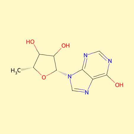 C[C@H]1O[C@@H](n2cnc3c(O)ncnc32)C(O)C1O